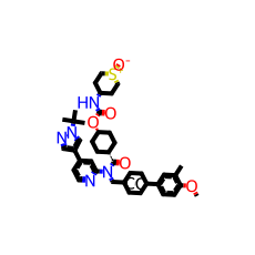 COc1ccc(C23CCC(CN(c4cc(-c5cnn(C(C)(C)C)c5)ccn4)C(=O)[C@H]4CC[C@H](OC(=O)NC5CC[S+]([O-])CC5)CC4)(CC2)CC3)cc1C